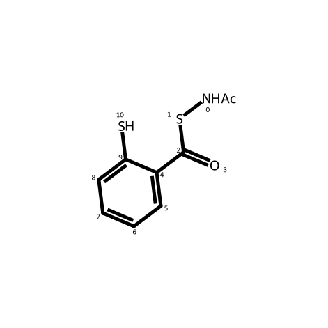 CC(=O)NSC(=O)c1ccccc1S